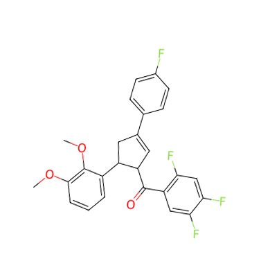 COc1cccc(C2CC(c3ccc(F)cc3)=CC2C(=O)c2cc(F)c(F)cc2F)c1OC